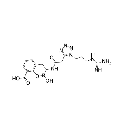 N=C(N)NCCCn1nnnc1CC(=O)NC1Cc2cccc(C(=O)O)c2OB1O